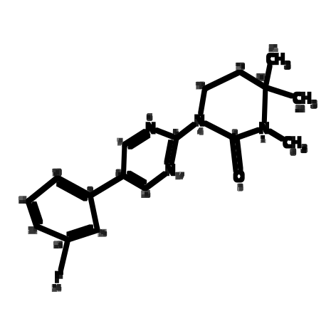 CN1C(=O)N(c2ncc(-c3cccc(F)c3)cn2)CCC1(C)C